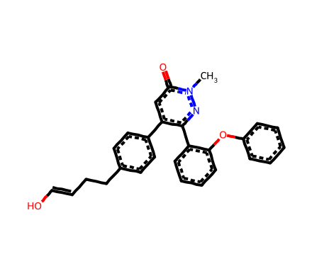 Cn1nc(-c2ccccc2Oc2ccccc2)c(-c2ccc(CCC=CO)cc2)cc1=O